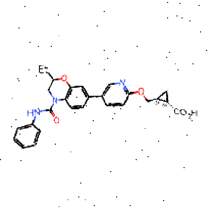 CCC1CN(C(=O)Nc2ccccc2)c2ccc(-c3ccc(OC[C@H]4C[C@@H]4C(=O)O)nc3)cc2O1